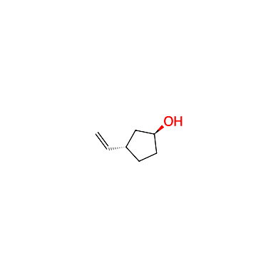 C=C[C@H]1CC[C@H](O)C1